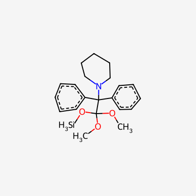 COC(OC)(O[SiH3])C(c1ccccc1)(c1ccccc1)N1CCCCC1